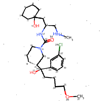 CNC[C@H](CC1(O)CCCCC1)NC(=O)N1CCC[C@@H]([C@@](O)(CCCCOC)c2cccc(Cl)c2)C1